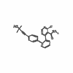 CC(C)(O)C#Cc1ccc(-c2ccccc2-c2ccnc(Cl)c2C(N)=O)cc1